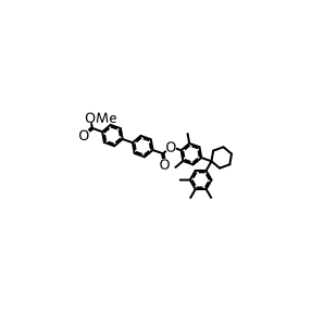 COC(=O)c1ccc(-c2ccc(C(=O)Oc3c(C)cc(C4(c5cc(C)c(C)c(C)c5)CCCCC4)cc3C)cc2)cc1